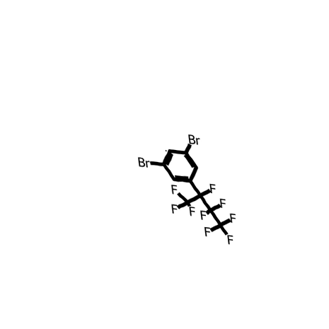 FC(F)(F)C(F)(F)C(F)(c1cc(Br)[c]c(Br)c1)C(F)(F)F